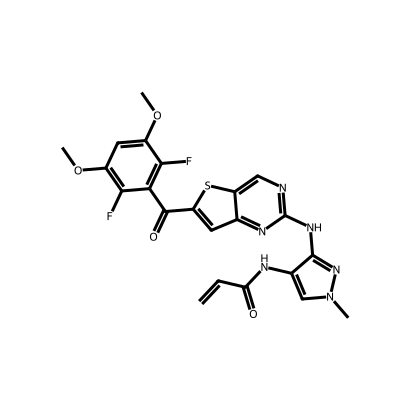 C=CC(=O)Nc1cn(C)nc1Nc1ncc2sc(C(=O)c3c(F)c(OC)cc(OC)c3F)cc2n1